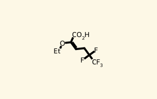 CCOC(=CCC(F)(F)C(F)(F)F)C(=O)O